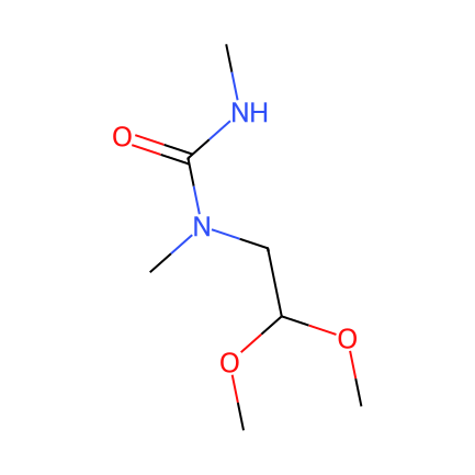 CNC(=O)N(C)CC(OC)OC